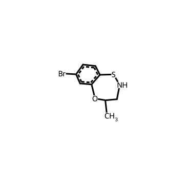 CC1CNSc2ccc(Br)cc2O1